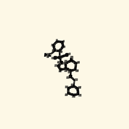 Cc1ccccc1S(=O)(=O)n1ccc2c(OCc3ccccc3)ccnc21